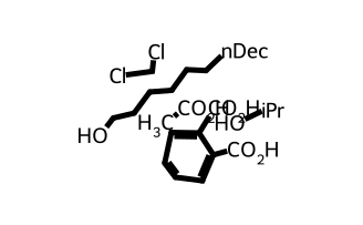 CC(=O)O.CC(C)O.CCCCCCCCCCCCCCCCO.ClCCl.O=C(O)c1ccccc1C(=O)O